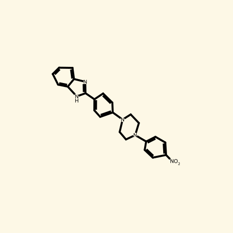 O=[N+]([O-])c1ccc(N2CCN(c3ccc(-c4nc5ccccc5[nH]4)cc3)CC2)cc1